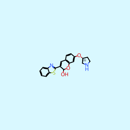 OC1Oc2cc(O[C@H]3CCNC3)ccc2C=C1c1nc2ccccc2s1